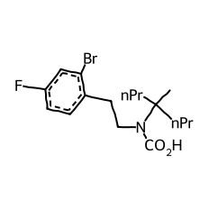 CCCC(C)(CCC)N(CCc1ccc(F)cc1Br)C(=O)O